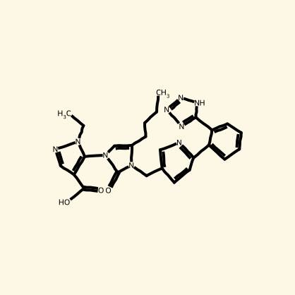 CCCCc1cn(-c2c(C(=O)O)cnn2CC)c(=O)n1Cc1ccc(-c2ccccc2-c2nnn[nH]2)nc1